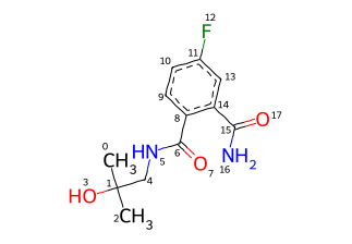 CC(C)(O)CNC(=O)c1ccc(F)cc1C(N)=O